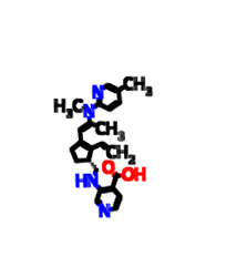 C=CC1=C(/C=C(\C)N(C)c2ccc(C)cn2)CC[C@H]1CNc1cnccc1C(=O)O